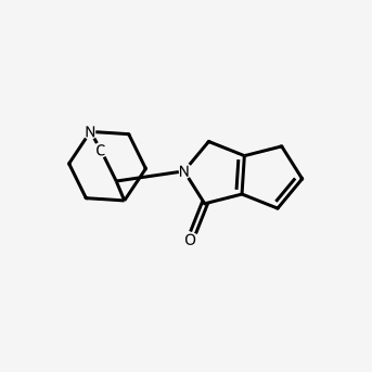 O=C1C2=C(CC=C2)CN1C1CN2CCC1CC2